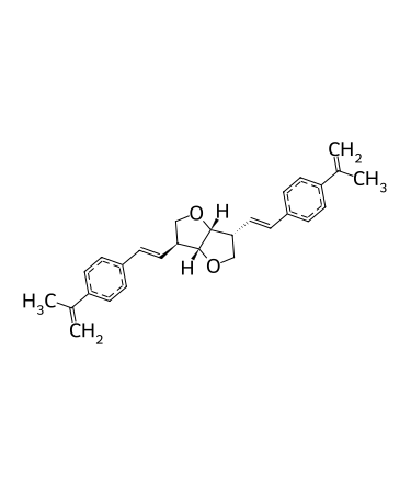 C=C(C)c1ccc(C=C[C@@H]2CO[C@H]3[C@@H]2OC[C@@H]3C=Cc2ccc(C(=C)C)cc2)cc1